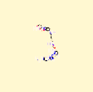 CC1(N)CCN(c2cnc(Sc3cccc(NC(=O)CC(=O)NCCCCCCNc4ccc5c(c4)C(=O)N(C4CCC(=O)NC4=O)C5=O)c3)c(N)n2)CC1